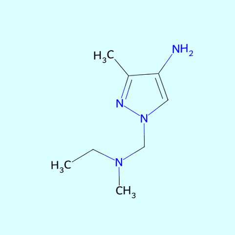 CCN(C)Cn1cc(N)c(C)n1